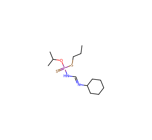 CCCSP(=S)(NC=NC1CCCCC1)OC(C)C